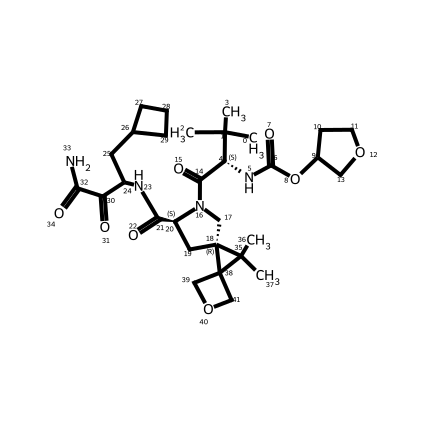 CC(C)(C)[C@H](NC(=O)OC1CCOC1)C(=O)N1C[C@]2(C[C@H]1C(=O)NC(CC1CCC1)C(=O)C(N)=O)C(C)(C)C21COC1